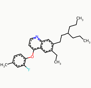 CCCC(CCC)CCc1cc2nccc(Oc3ccc(C)cc3F)c2cc1CC